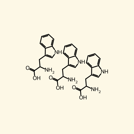 NC(Cc1c[nH]c2ccccc12)C(=O)O.NC(Cc1c[nH]c2ccccc12)C(=O)O.NC(Cc1c[nH]c2ccccc12)C(=O)O